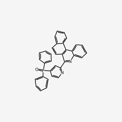 O=P(c1ccccc1)(c1ccccc1)c1ccnc(-c2nc3ccccc3c3c2ccc2ccccc23)c1